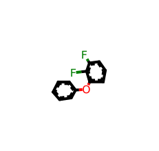 Fc1cccc(Oc2ccccc2)c1F